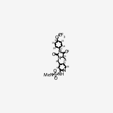 CNS(=O)(=O)Nc1cc(CN2C(=O)N(c3ccc(OC(F)(F)F)cc3)C(=O)C2C)ccn1